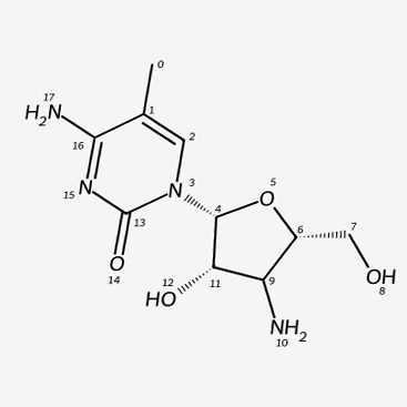 Cc1cn([C@@H]2O[C@H](CO)C(N)[C@@H]2O)c(=O)nc1N